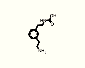 NCCc1cccc(CCNC(=O)O)c1